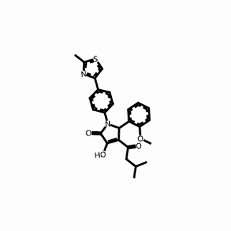 COc1ccccc1C1C(C(=O)CC(C)C)=C(O)C(=O)N1c1ccc(-c2csc(C)n2)cc1